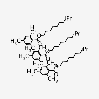 Cc1cc(C)c(C(=O)OCCCCCCCC(C)C)c(C)c1.Cc1cc(C)c(C(=O)OCCCCCCCC(C)C)c(C)c1.Cc1cc(C)c(C(=O)OCCCCCCCC(C)C)c(C)c1